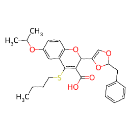 CCCCSC1=C(C(=O)O)C(C2=COC(Cc3ccccc3)O2)Oc2ccc(OC(C)C)cc21